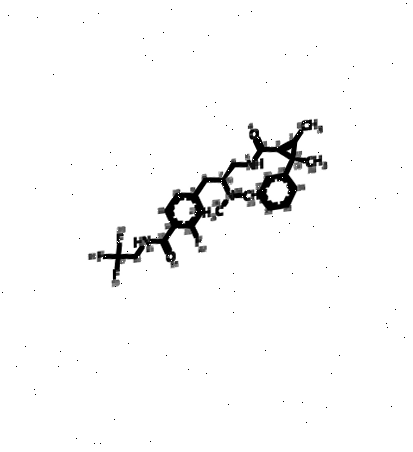 CC1=C(C(=O)NC[C@H](Cc2ccc(C(=O)NCC(F)(F)F)c(F)c2)N(C)C)[C@@]1(C)c1ccccc1